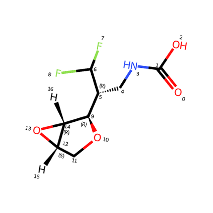 O=C(O)NC[C@@H](C(F)F)[C@H]1OC[C@@H]2O[C@H]12